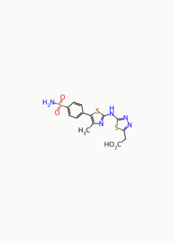 Cc1nc(Nc2nnc(CC(=O)O)s2)sc1-c1ccc(S(N)(=O)=O)cc1